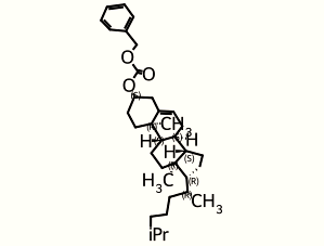 CC(C)CCC[C@@H](C)[C@H]1CC[C@H]2[C@@H]3CC=C4C[C@@H](OC(=O)OCc5ccccc5)CC[C@]4(C)[C@H]3CC[C@]12C